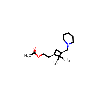 CC(=O)OCC[C@H]1C[C@@H](CN2CCCCC2)C1(C)C